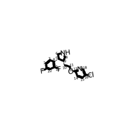 Fc1ccc([C@@H]2CNC[C@@H]2CCOc2ccc(Cl)cn2)c(F)c1